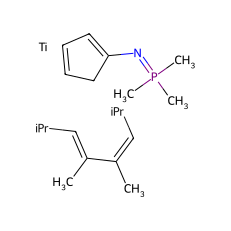 CC(=CC(C)C)C(C)=CC(C)C.CP(C)(C)=NC1=CC=CC1.[Ti]